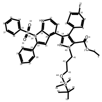 CCOC(=O)c1c(-c2ccc(F)cc2)c(-c2ccnc3c2cc(-c2ccccc2)n3S(=O)(=O)c2ccccc2)nn1CCCO[Si](C)(C)C(C)(C)C